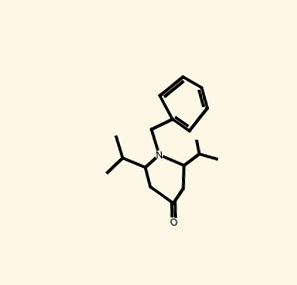 CC(C)C1CC(=O)CC(C(C)C)N1Cc1ccccc1